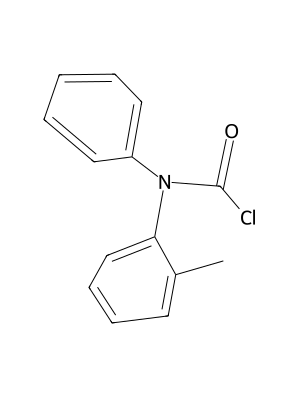 Cc1ccccc1N(C(=O)Cl)c1ccccc1